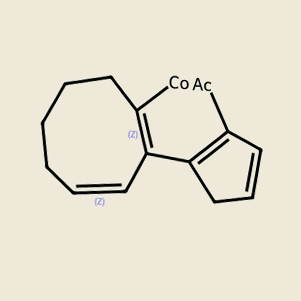 CC(=O)C1=C(C2=[C](\[Co])CCCC/C=C\2)CC=C1